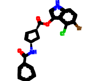 O=C(N[C@@H]1C=C[C@H](C(=O)Oc2c[nH]c3ccc(Br)c(Cl)c23)C1)c1ccccc1